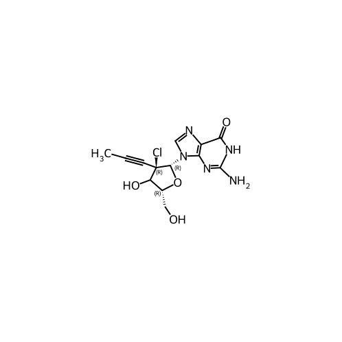 CC#C[C@@]1(Cl)C(O)[C@@H](CO)O[C@H]1n1cnc2c(=O)[nH]c(N)nc21